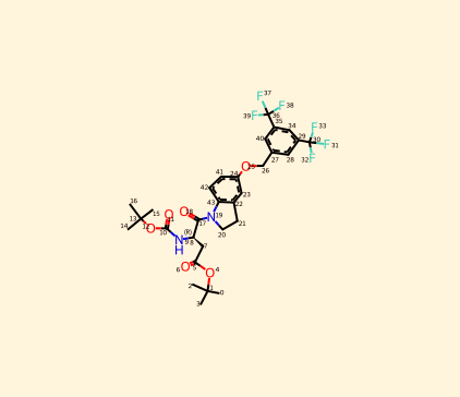 CC(C)(C)OC(=O)C[C@@H](NC(=O)OC(C)(C)C)C(=O)N1CCc2cc(OCc3cc(C(F)(F)F)cc(C(F)(F)F)c3)ccc21